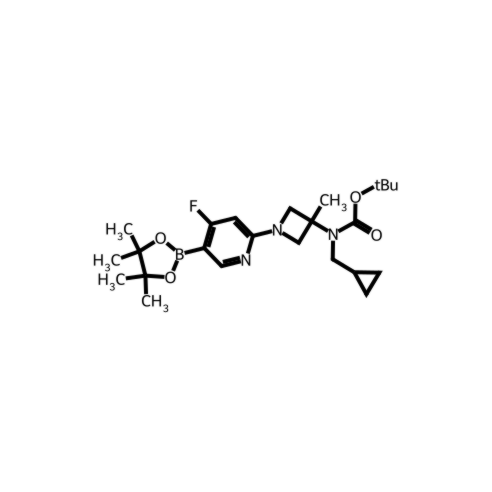 CC(C)(C)OC(=O)N(CC1CC1)C1(C)CN(c2cc(F)c(B3OC(C)(C)C(C)(C)O3)cn2)C1